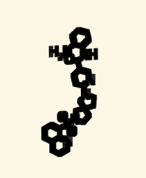 Nc1ccccc1NC(=O)c1ccc(N2CCC3(CCN(S(=O)(=O)c4cccc5cccnc45)C3)C2)nc1